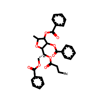 CC(=O)CCC(=O)O[C@H](COC(=O)c1ccccc1)C1OC(C)C(OC(=O)c2ccccc2)C1OC(=O)c1ccccc1